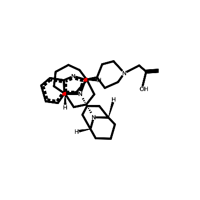 C=C(O)CN1CCC(c2nc3ccccc3n2[C@H]2C[C@H]3CCC[C@@H](C2)N3[C@@H]2C[C@@H]3CCCC[C@@H](C3)C2)CC1